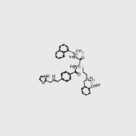 COc1ccccc1CN(C)CCC[C@H](NC(=O)c1ccc(CNCc2ncc[nH]2)cc1)C(=O)N[C@@H](C)c1cccc2ccccc12